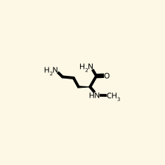 CN[C@@H](CCCN)C(N)=O